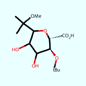 COC(C)(C)C1O[C@H](C(=O)O)[C@@H](OC(C)(C)C)C(O)C1O